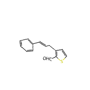 O=Cc1sccc1C/C=C/c1ccccc1